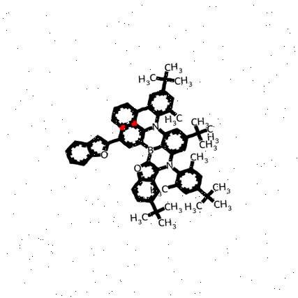 Cc1cc(C(C)(C)C)cc(C)c1N1c2cc(C(C)(C)C)cc3c2B(c2cc(-c4cc5ccccc5o4)ccc2N3c2c(C)cc(C(C)(C)C)cc2-c2ccccc2)c2oc3ccc(C(C)(C)C)cc3c21